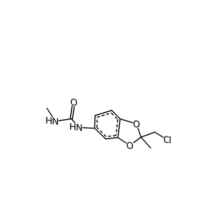 CNC(=O)Nc1ccc2c(c1)OC(C)(CCl)O2